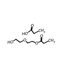 CCC(=O)O.CCC(=O)OCCOCCO